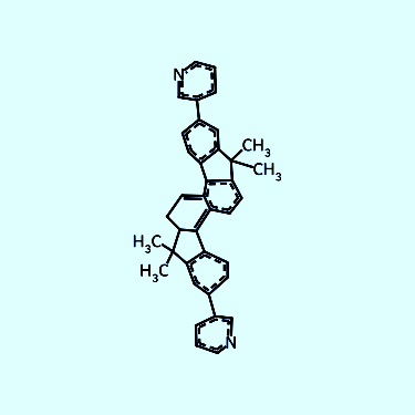 CC1(C)c2cc(-c3cccnc3)ccc2-c2c1ccc1c2=CCC2C=1c1ccc(-c3cccnc3)cc1C2(C)C